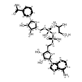 CC(O)CC(=O)O.NC(=O)c1ccc[n+]([C@@H]2O[C@H](COP(=O)(O)OP(=O)(O)OC[C@H]3O[C@@H](n4cnc5c(N)ncnc54)[C@H](O)[C@@H]3O)[C@@H](O)[C@H]2O)c1